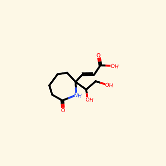 O=C(O)C=CC1(C(O)CO)CCCCC(=O)N1